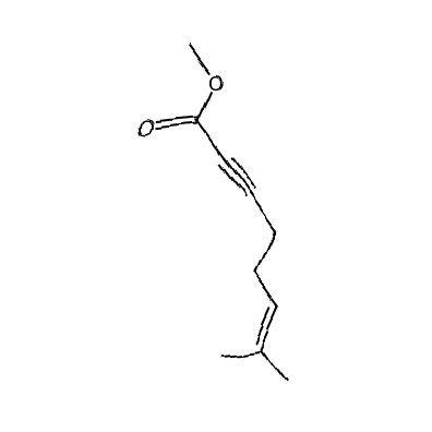 COC(=O)C#CCCC=C(C)C